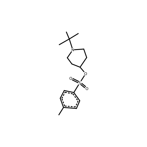 Cc1ccc(S(=O)(=O)OC2CCN(C(C)(C)C)CC2)cc1